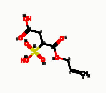 C=CCOC(=O)C(CC(=O)O)S(=O)(=O)O